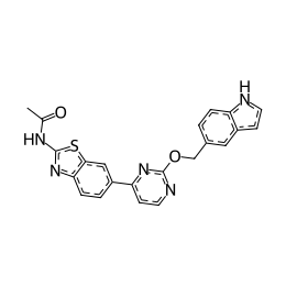 CC(=O)Nc1nc2ccc(-c3ccnc(OCc4ccc5[nH]ccc5c4)n3)cc2s1